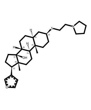 C[C@]12CC[C@H](SCCN3CCCC3)C[C@@H]1CC[C@@H]1[C@@H]2CC[C@]2(C)[C@@H](c3ccoc3)CC[C@]12O